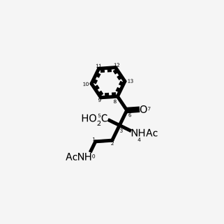 CC(=O)NCCC(NC(C)=O)(C(=O)O)C(=O)c1ccccc1